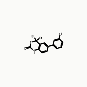 CCC1(CC)OC(=O)Nc2ccc(-c3cccc(Cl)c3)cc21